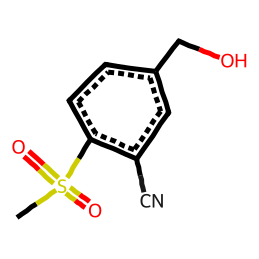 CS(=O)(=O)c1ccc(CO)cc1C#N